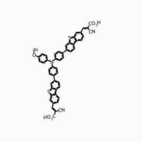 CC(C)Oc1ccc(N(c2ccc(-c3ccc4c(c3)sc3cc(/C=C(\C#N)C(=O)O)ccc34)cc2)c2ccc(-c3ccc4c(c3)sc3cc(/C=C(\C#N)C(=O)O)ccc34)cc2)cc1